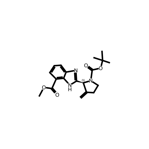 C=C1CCN(C(=O)OC(C)(C)C)[C@@H]1c1nc2cccc(C(=O)OC)c2[nH]1